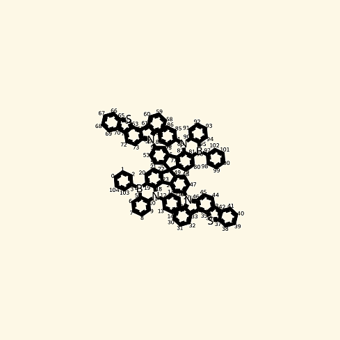 c1ccc(B2c3ccccc3N(c3ccccc3)c3c2ccc2c3-c3cc(-n4c5ccccc5c5c6sc7ccccc7c6ccc54)ccc3C23c2ccc(-n4c5ccccc5c5c6sc7ccccc7c6ccc54)cc2-c2c3ccc3c2N(c2ccccc2)c2ccccc2B3c2ccccc2)cc1